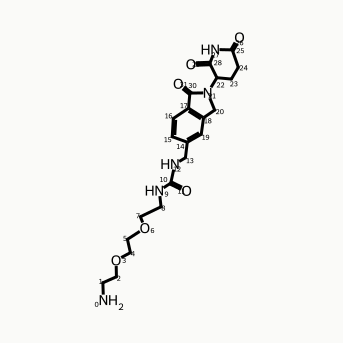 NCCOCCOCCNC(=O)NCc1ccc2c(c1)CN(C1CCC(=O)NC1=O)C2=O